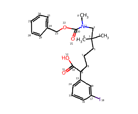 CN(CC(C)(C)CCCC(C(=O)O)c1cccc(I)c1)C(=O)OCc1ccccc1